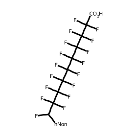 CCCCCCCCCC(F)C(F)(F)C(F)(F)C(F)(F)C(F)(F)C(F)(F)C(F)(F)C(F)(F)C(F)(F)C(=O)O